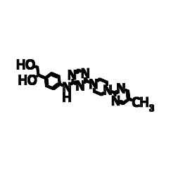 Cc1cnc(N2CCN(c3ncnc(Nc4ccc([C@H](O)CO)cc4)n3)CC2)nc1